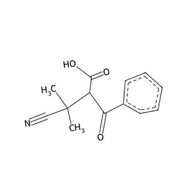 CC(C)(C#N)C(C(=O)O)C(=O)c1ccccc1